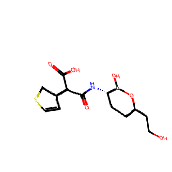 O=C(O)C(C(=O)N[C@H]1CCC(CCO)OB1O)C1C=CSC1